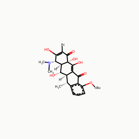 CCCCOc1cccc2c1C(=O)C1=C(O)[C@]3(O)C(=O)C(C(C)=O)=C(O)[C@@H](N(C)C)[C@@H]3[C@@H](O)[C@@H]1[C@H]2C